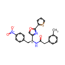 Cc1cccc(CC(=O)N[C@@H](Cc2ccc([N+](=O)[O-])cc2)c2coc(-c3cccs3)n2)c1